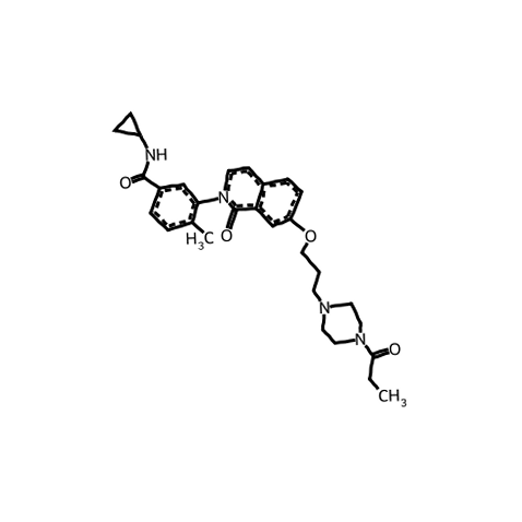 CCC(=O)N1CCN(CCCOc2ccc3ccn(-c4cc(C(=O)NC5CC5)ccc4C)c(=O)c3c2)CC1